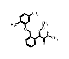 CNC(=S)/C(=N\OC)c1ccccc1COc1cc(C)ccc1C